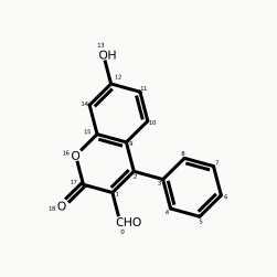 O=Cc1c(-c2ccccc2)c2ccc(O)cc2oc1=O